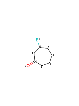 O=C1CCCCC(F)C1